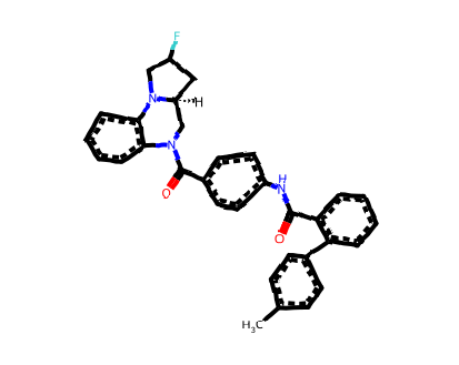 Cc1ccc(-c2ccccc2C(=O)Nc2ccc(C(=O)N3C[C@@H]4CC(F)CN4c4ccccc43)cc2)cc1